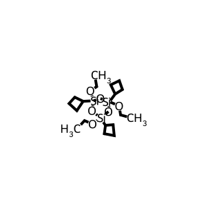 CCO[Si]1(C2CCC2)O[Si](OCC)(C2CCC2)O[Si](OCC)(C2CCC2)O1